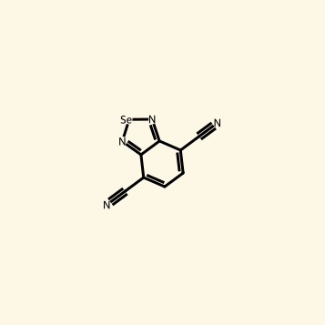 N#Cc1ccc(C#N)c2n[se]nc12